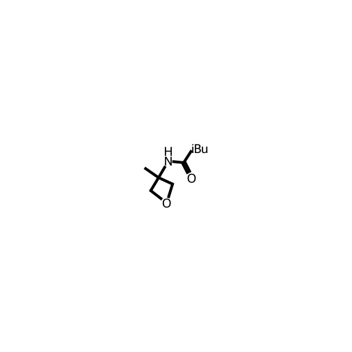 CCC(C)C(=O)NC1(C)COC1